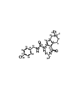 CC[N+]1(C)CCc2c(sc(NC(=O)NCc3ccc(Cl)cc3)c2C(N)=O)C1.[I-]